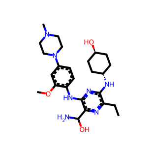 CCc1nc(C(N)O)c(Nc2ccc(N3CCN(C)CC3)cc2OC)nc1N[C@H]1CC[C@H](O)CC1